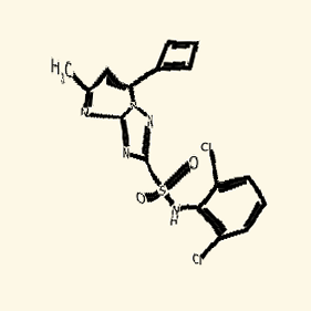 Cc1cc(C2=CC=C2)n2nc(S(=O)(=O)Nc3c(Cl)cccc3Cl)nc2n1